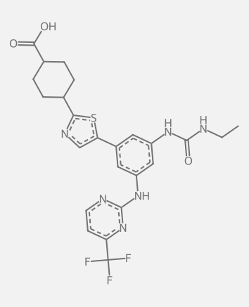 CCNC(=O)Nc1cc(Nc2nccc(C(F)(F)F)n2)cc(-c2cnc(C3CCC(C(=O)O)CC3)s2)c1